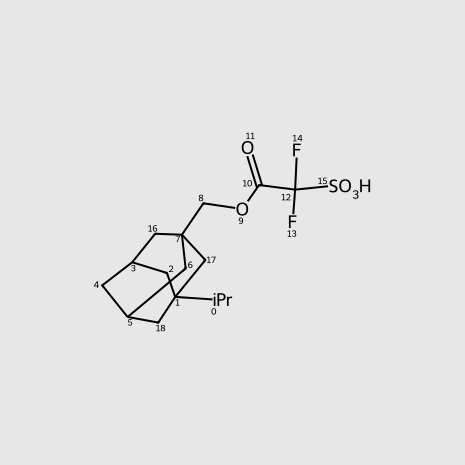 CC(C)C12CC3CC(CC(COC(=O)C(F)(F)S(=O)(=O)O)(C3)C1)C2